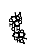 CO[C@@]1(C)CO[C@@H]2[C@H](O[C@@H]3CO[C@H]4[C@@H]3OC[C@]4(C)OC)CO[C@@H]21